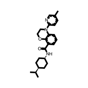 Cc1ccc(N2CCOc3c(C(=O)N[C@H]4CC[C@H](C(C)C)CC4)cccc32)nc1